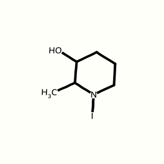 CC1C(O)CCCN1I